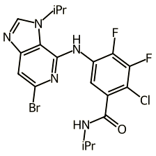 CC(C)NC(=O)c1cc(Nc2nc(Br)cc3ncn(C(C)C)c23)c(F)c(F)c1Cl